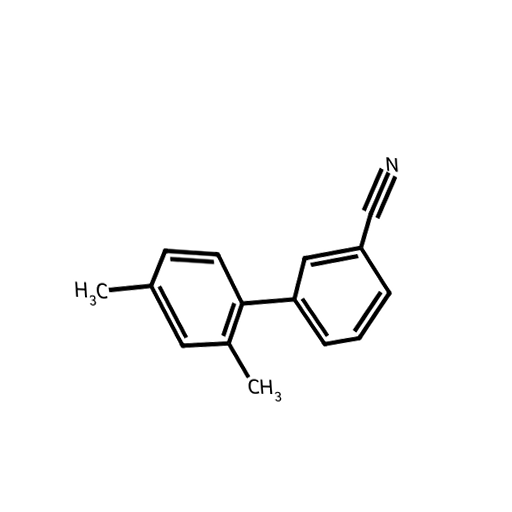 Cc1ccc(-c2cccc(C#N)c2)c(C)c1